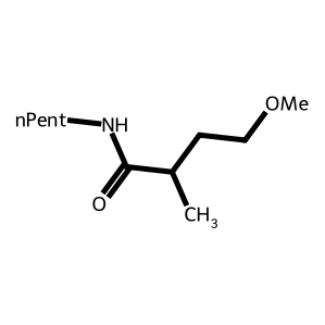 CCCCCNC(=O)C(C)CCOC